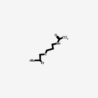 CCCCC(CC)COCCCNC(=O)C(Cl)(Cl)Cl